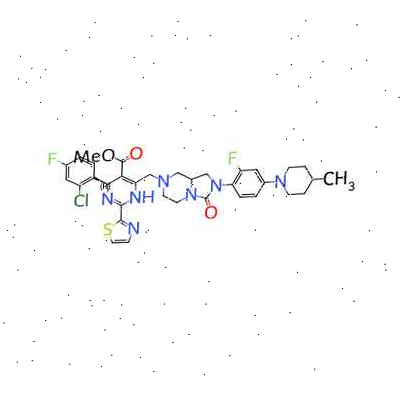 COC(=O)C1=C(CN2CCN3C(=O)N(c4ccc(N5CCC(C)CC5)cc4F)CC3C2)NC(c2nccs2)=N[C@H]1c1ccc(F)cc1Cl